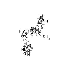 CN(CCN(C)C(=O)[C@H](CCCCN)NC(=O)c1ccc(C2(C(F)(F)F)NN2)cc1)C(=O)CCCC[C@H]1SC[C@H]2NC(=O)N[C@H]21